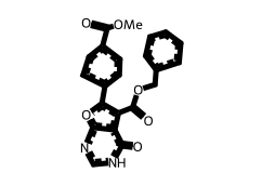 COC(=O)c1ccc(-c2oc3nc[nH]c(=O)c3c2C(=O)OCc2ccccc2)cc1